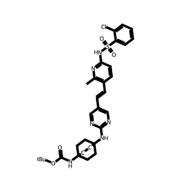 Cc1nc(NS(=O)(=O)c2ccccc2Cl)ccc1/C=C/c1cnc(NC23CCC(NC(=O)OC(C)(C)C)(CC2)CC3)nc1